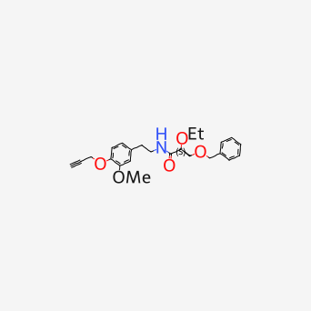 C#CCOc1ccc(CCNC(=O)[C@H](COCc2ccccc2)OCC)cc1OC